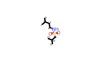 CC(C)CCNS(=O)(=O)CC(C)C